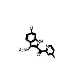 CC(=O)Nc1c(C(=O)c2cc(C)ccn2)[nH]c2cc(Cl)ccc12